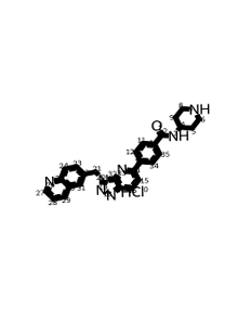 Cl.O=C(NC1CCNCC1)c1ccc(-c2ccc3nnn(Cc4ccc5ncccc5c4)c3n2)cc1